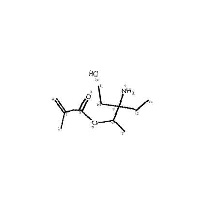 C=C(C)C(=O)OC(C)C(N)(CC)CC.Cl